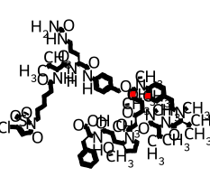 CC[C@H](C)[C@@H]([C@@H](CC(=O)N1CCC[C@H]1[C@H](OC)[C@@H](C)C(=O)N[C@@H](Cc1ccccc1)C(=O)O)OC)N(C)C(=O)[C@@H](NC(=O)[C@H](C(C)C)N(C)CCc1ccc(N(C)C(=O)OCc2ccc(NC(=O)[C@H](CCCNC(N)=O)NC(=O)[C@@H](NC(=O)CCCCCN3C(=O)C=C(Cl)S3(=O)=O)C(C)C)cc2)cc1)C(C)C